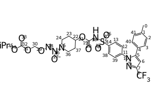 Cc1ccc(-c2cc(C(F)(F)F)nn2-c2ccc(S(=O)(=O)NC(=O)OC3CCN(/[N+]([O-])=N/OCOC(=O)OC(C)C)CC3)cc2)cc1